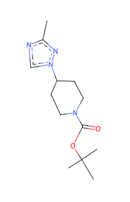 Cc1ncn(C2CCN(C(=O)OC(C)(C)C)CC2)n1